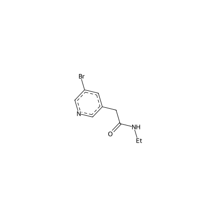 CCNC(=O)Cc1cncc(Br)c1